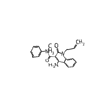 C=CCn1c(=O)c(C(=O)N(C)c2ccccc2)c(N)c2ccccc21